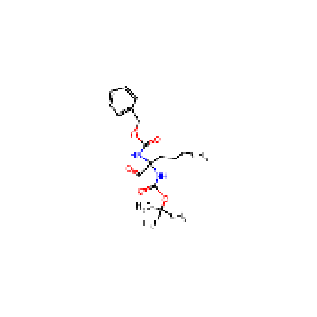 CCCCC(C=O)(NC(=O)OCc1ccccc1)NC(=O)OC(C)(C)C